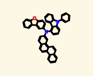 c1ccc(-n2c3ccccc3c3c(N(c4ccc5ccc6c7ccccc7ccc6c5c4)c4ccc5oc6ccccc6c5c4)cccc32)cc1